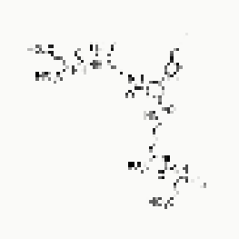 O=C(O)CC[C@@H](NC(=O)N[C@@H](CCCCNC(=O)c1cc(C(=O)NCCCC[C@@H](NC(=O)N[C@H](CCC(=O)O)C(=O)O)C(=O)O)cc(-n2cc(CCCF)nn2)c1)C(=O)O)C(=O)O